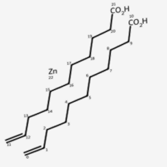 C=CCCCCCCCCC(=O)O.C=CCCCCCCCCC(=O)O.[Zn]